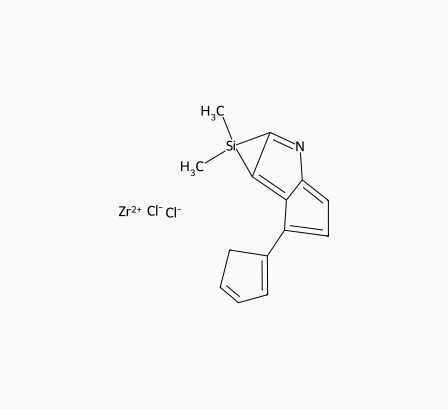 C[Si]1(C)C2=NC3=CC=C(C4=CC=CC4)C3=C21.[Cl-].[Cl-].[Zr+2]